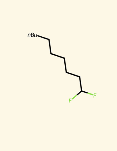 CCCCCCCCCC(F)F